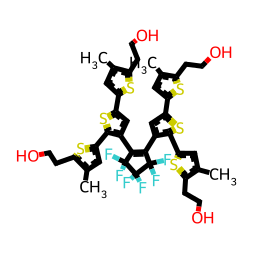 Cc1cc(-c2cc(C3=C(c4cc(-c5cc(C)c(CCO)s5)sc4-c4cc(C)c(CCO)s4)C(F)(F)C(F)(F)C3(F)F)c(-c3cc(C)c(CCO)s3)s2)sc1CCO